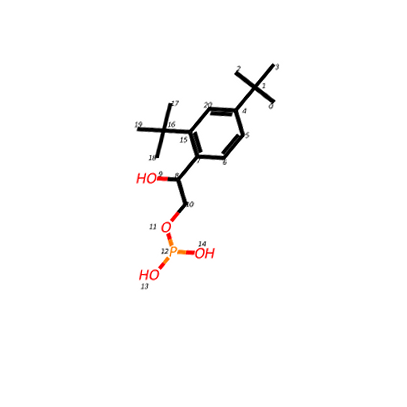 CC(C)(C)c1ccc(C(O)COP(O)O)c(C(C)(C)C)c1